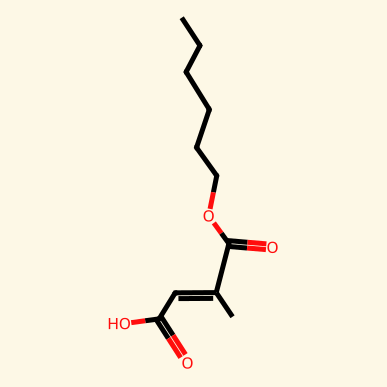 CCCCCCOC(=O)C(C)=CC(=O)O